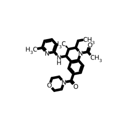 CCC1[C@H](C)C(Nc2cccc(C)n2)c2cc(C(=O)N3CCOCC3)ccc2N1C(C)=O